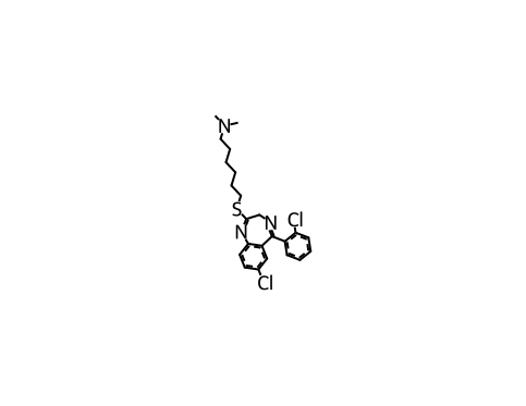 CN(C)CCCCCCSC1=Nc2ccc(Cl)cc2C(c2ccccc2Cl)=NC1